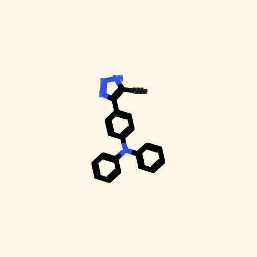 CNc1[nH]nnc1-c1ccc(N(c2ccccc2)c2ccccc2)cc1